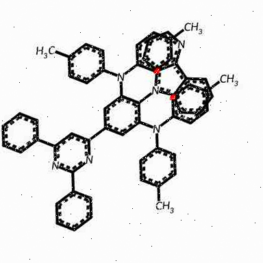 Cc1ccc(N(c2ccc(C)cc2)c2cc(-c3cc(-c4ccccc4)nc(-c4ccccc4)n3)cc(N(c3ccc(C)cc3)c3ccc(C)cc3)c2-n2c3ccccc3c3ncccc32)cc1